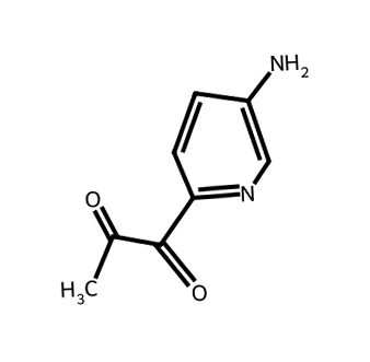 CC(=O)C(=O)c1ccc(N)cn1